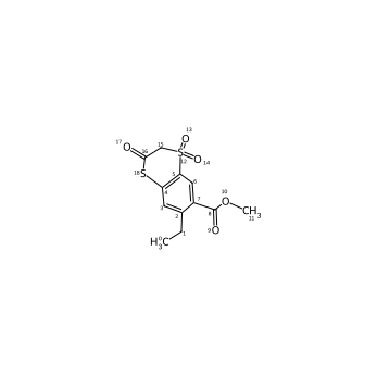 CCc1cc2c(cc1C(=O)OC)S(=O)(=O)CC(=O)S2